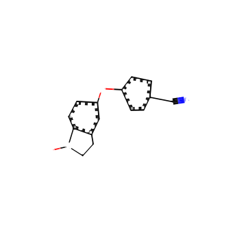 N#Cc1ccc(Oc2ccc3c(c2)CCB3O)cc1